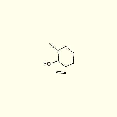 C=C.CC1CCCCC1O